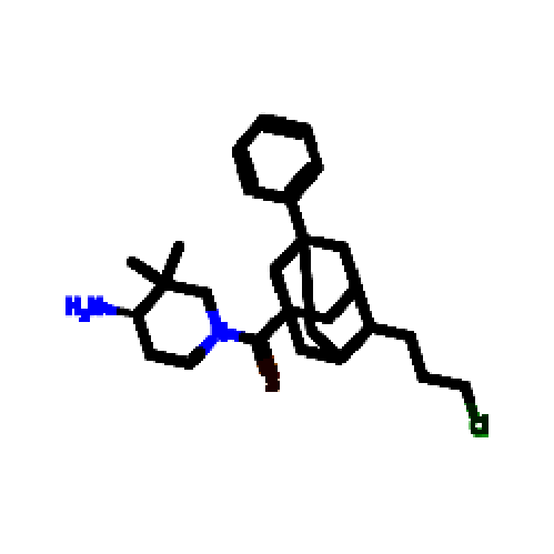 CC1(C)CN(C(=S)C23CC4CC(c5ccccc5)(CC(C2)C4CCCCl)C3)CC[C@@H]1N